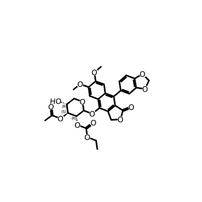 CCOC(=O)O[C@H]1C(Oc2c3c(c(-c4ccc5c(c4)OCO5)c4cc(OC)c(OC)cc24)C(=O)OC3)OC[C@@H](O)[C@@H]1OC(C)=O